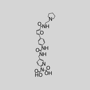 O=C(NCc1ccc(N(C(=O)O)C(=O)O)nc1)Nc1ccc(-c2ccc(C(=O)NCCN3CCCCC3)o2)cc1